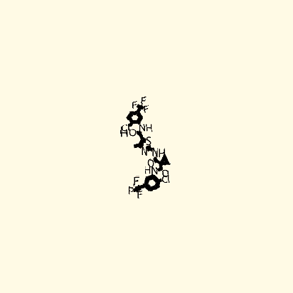 Cc1nc(NC(=O)C2(C(=O)Nc3cc(C(F)(F)F)ccc3Cl)CC2)sc1C(O)Nc1cc(C(F)(F)F)ccc1Cl